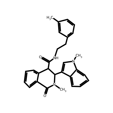 Cc1cccc(CCNC(=O)C2c3ccccc3C(=O)N(C)C2c2cn(C)c3ccccc23)c1